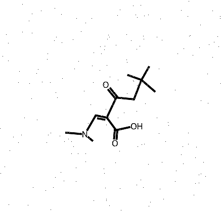 CN(C)C=C(C(=O)O)C(=O)CC(C)(C)C